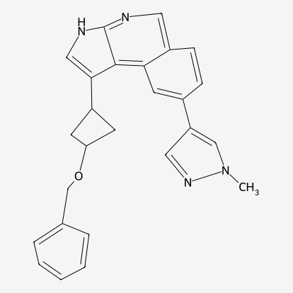 Cn1cc(-c2ccc3cnc4[nH]cc(C5CC(OCc6ccccc6)C5)c4c3c2)cn1